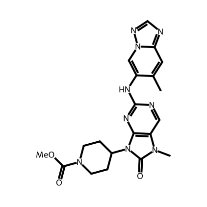 COC(=O)N1CCC(n2c(=O)n(C)c3cnc(Nc4cn5ncnc5cc4C)nc32)CC1